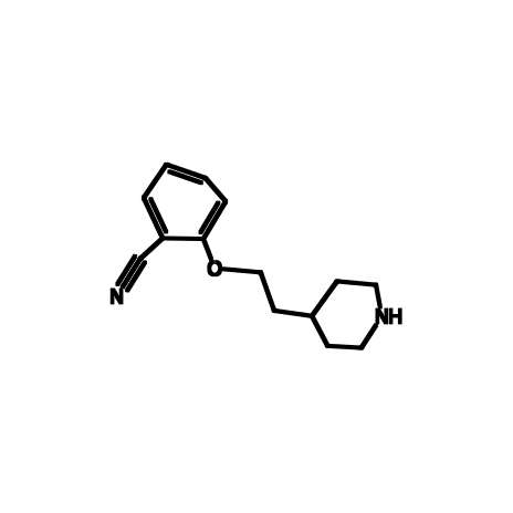 N#Cc1ccccc1OCCC1CCNCC1